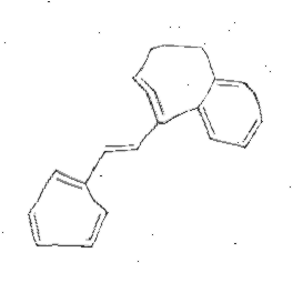 C1=C(/C=C/c2ccccc2)c2ccccc2CC1